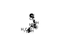 Cc1nc[nH]c1CSCCNC(=C[N+](=O)[O-])NCCSCc1ncccc1Cl